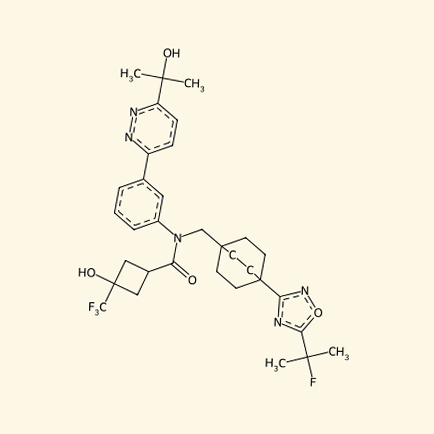 CC(C)(O)c1ccc(-c2cccc(N(CC34CCC(c5noc(C(C)(C)F)n5)(CC3)CC4)C(=O)C3CC(O)(C(F)(F)F)C3)c2)nn1